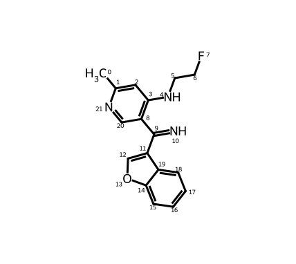 Cc1cc(NCCF)c(C(=N)c2coc3ccccc23)cn1